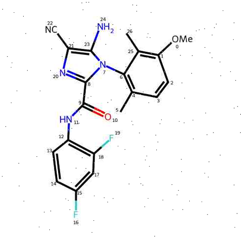 COc1ccc(C)c(-n2c(C(=O)Nc3ccc(F)cc3F)nc(C#N)c2N)c1C